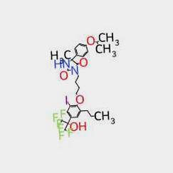 CCCc1cc(C(O)(C(F)(F)F)C(F)(F)F)cc(I)c1OCCCCN1C(=O)NC(C)(c2ccc(OC(C)C)cc2)C1=O